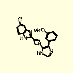 COc1cccc(C2=C(N3CC(c4nc5cc(Cl)ccc5[nH]4)C3)NCC=N2)c1